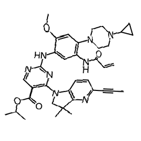 C=CC(=O)Nc1cc(Nc2ncc(C(=O)OC(C)C)c(N3CC(C)(C)c4nc(C#CC)ccc43)n2)c(OC)cc1N1CCN(C2CC2)CC1